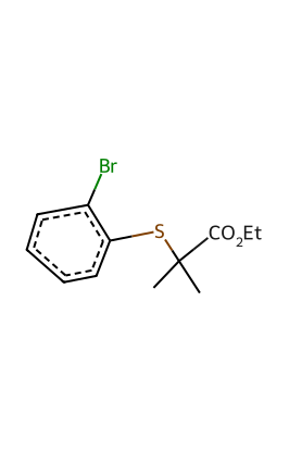 CCOC(=O)C(C)(C)Sc1ccccc1Br